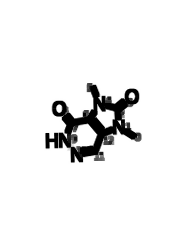 Cn1c(=O)n(C)c2c(=O)[nH]ncc21